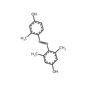 Cc1cc(O)ccc1/N=N/c1c(C)cc(O)cc1C